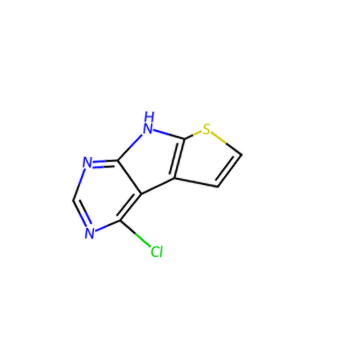 Clc1ncnc2[nH]c3sccc3c12